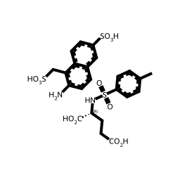 Cc1ccc(S(=O)(=O)N[C@H](CCC(=O)O)C(=O)O)cc1.Nc1ccc2cc(S(=O)(=O)O)ccc2c1CS(=O)(=O)O